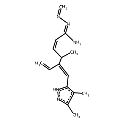 C=C/C(=C\c1[nH]nc(C)c1C)C(C)/C=C\C(N)=N/N=C